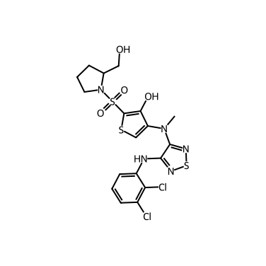 CN(c1csc(S(=O)(=O)N2CCCC2CO)c1O)c1nsnc1Nc1cccc(Cl)c1Cl